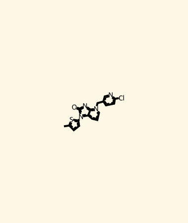 Cc1ccc(-n2c3cccn(Cc4ccc(Cl)nc4)c-3nc2=O)s1